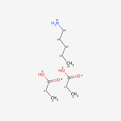 CCC(=O)O.CCC(=O)O.CCCCCN